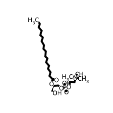 CCCCCCCCCCCCCCCCCC(=O)O[C@H](CO)COP(=O)(O)OCC[N+](C)(C)C